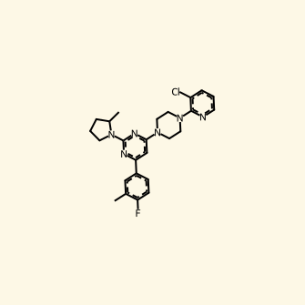 Cc1cc(-c2cc(N3CCN(c4ncccc4Cl)CC3)nc(N3CCCC3C)n2)ccc1F